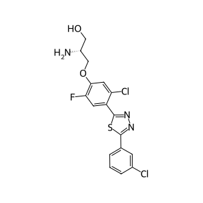 N[C@H](CO)COc1cc(Cl)c(-c2nnc(-c3cccc(Cl)c3)s2)cc1F